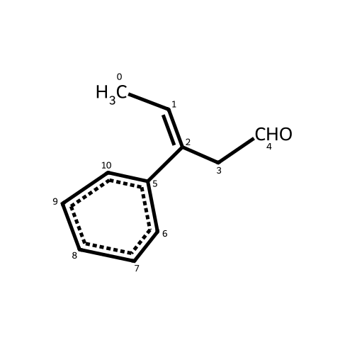 C/C=C(/CC=O)c1ccccc1